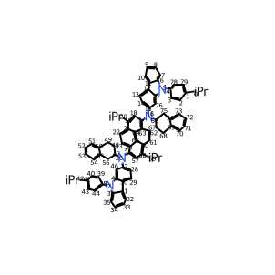 CC(C)c1ccc(-n2c3ccccc3c3ccc(N(c4cc(C(C)C)c5ccc6c(N(c7ccc8c9ccccc9n(-c9ccc(C(C)C)cc9)c8c7)C7CCc8ccccc8C7)cc(C(C)C)c7ccc4c5c76)C4CCc5ccccc5C4)cc32)cc1